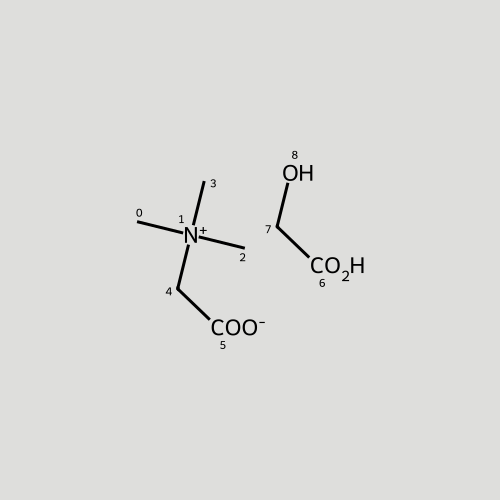 C[N+](C)(C)CC(=O)[O-].O=C(O)CO